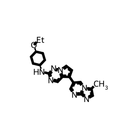 CCO[C@H]1CC[C@@H](Nc2ncc3c(-c4cnc5ncc(C)n5c4)ccn3n2)CC1